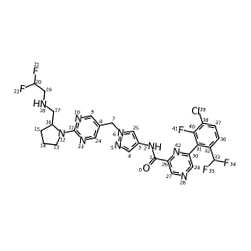 O=C(Nc1cnn(Cc2cnc(N3CCCC3CNCC(F)F)nc2)c1)c1cncc(-c2c(C(F)F)ccc(Cl)c2F)n1